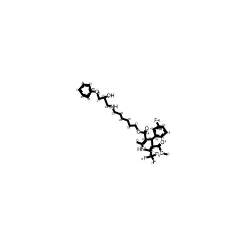 COC(=O)C1=C(C(F)(F)F)NC(C)=C(C(=O)OCCCCCCNCC(O)COc2ccccc2)C1c1cccc(F)c1